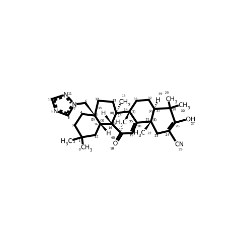 CC1(C)CC[C@]2(Cn3cncn3)CC[C@]3(C)[C@H](C(=O)C=C4[C@@]5(C)CC(C#N)=C(O)C(C)(C)[C@@H]5CC[C@]43C)[C@@H]2C1